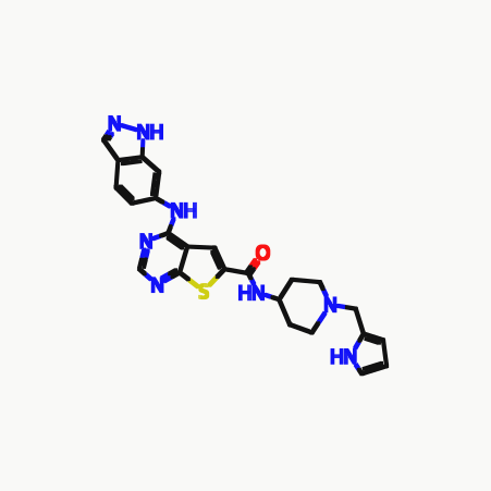 O=C(NC1CCN(Cc2ccc[nH]2)CC1)c1cc2c(Nc3ccc4cn[nH]c4c3)ncnc2s1